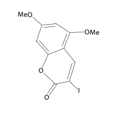 COc1cc(OC)c2cc(I)c(=O)oc2c1